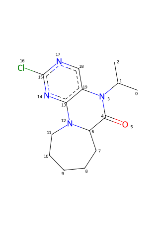 CC(C)N1C(=O)C2CCCCCN2c2nc(Cl)ncc21